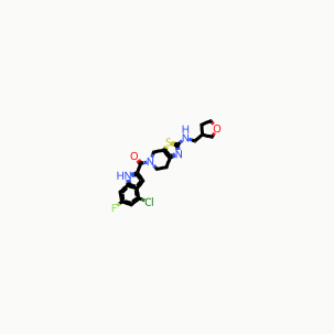 O=C(c1cc2c(Cl)cc(F)cc2[nH]1)N1CCc2nc(NCC3CCOC3)sc2C1